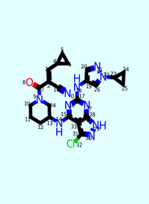 N#C/C(=C\C1CC1)C(=O)N1CCCC(Nc2nc(Nc3cnn(C4CC4)c3)nc3[nH]nc(Cl)c23)C1